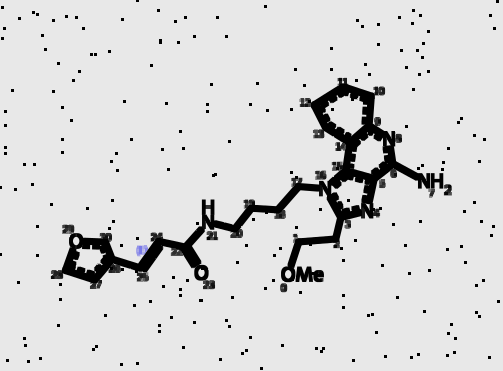 COCCc1nc2c(N)nc3ccccc3c2n1CCCCNC(=O)/C=C/c1ccoc1